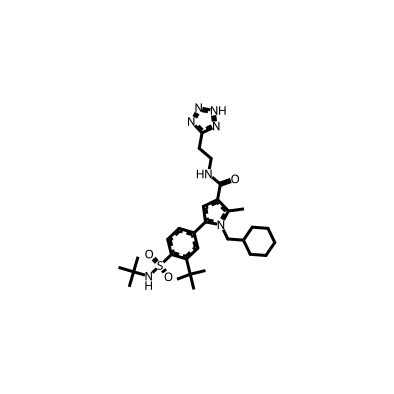 Cc1c(C(=O)NCCc2nn[nH]n2)cc(-c2ccc(S(=O)(=O)NC(C)(C)C)c(C(C)(C)C)c2)n1CC1CCCCC1